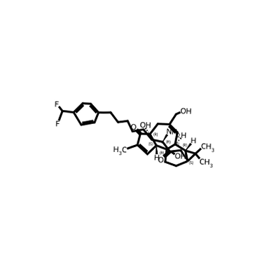 CC1=C[C@H]2[C@@]3(O)CC[C@]4(CC(=O)[C@H](N)CCCCCCc5ccc(C(F)F)cc5)[C@H]([C@@H]3C=C(CO)C[C@]2(O)C1=O)C4(C)C